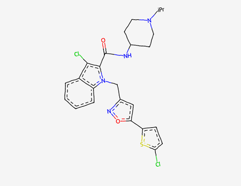 CC(C)N1CCC(NC(=O)c2c(Cl)c3ccccc3n2Cc2cc(-c3ccc(Cl)s3)on2)CC1